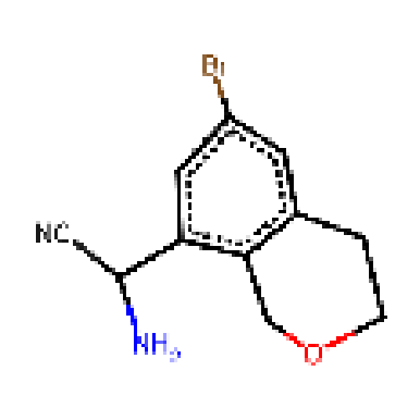 N#CC(N)c1cc(Br)cc2c1COCC2